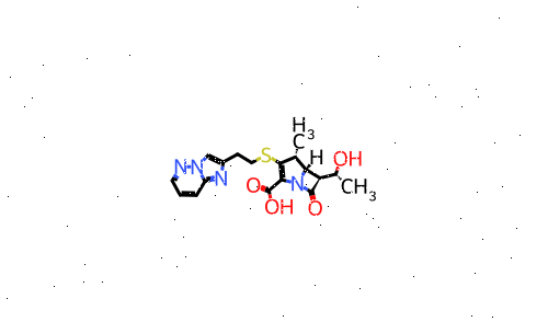 C[C@@H](O)[C@H]1C(=O)N2C(C(=O)O)=C(SCCc3cn4ncccc4n3)[C@H](C)[C@H]12